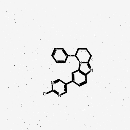 Clc1ncc(-c2ccc3nc4n(c3c2)C(c2ccccc2)CCC4)cn1